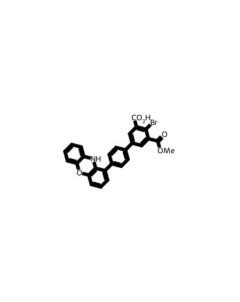 COC(=O)c1cc(-c2ccc(-c3cccc4c3Nc3ccccc3O4)cc2)cc(C(=O)O)c1Br